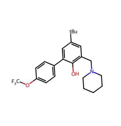 CC(C)(C)c1cc(CN2CCCCC2)c(O)c(-c2ccc(OC(F)(F)F)cc2)c1